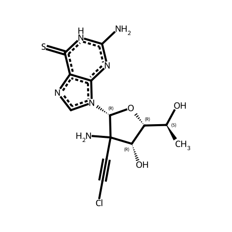 C[C@H](O)[C@H]1O[C@@H](n2cnc3c(=S)[nH]c(N)nc32)C(N)(C#CCl)[C@H]1O